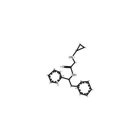 O=C(CNC1CC1)NC(Cc1ccccc1)c1ccccn1